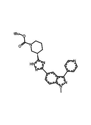 Cn1nc(-c2ccncc2)c2cc(-c3n[nH]c([C@@H]4CCCN(C(=O)OC(C)(C)C)C4)n3)ccc21